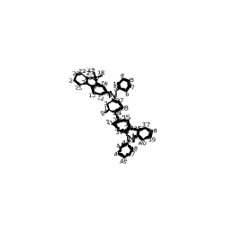 CC1CC(N(c2ccccc2)c2ccc3c(c2)C(C)(C)[C@]2(C)C=CC=CC32)=CC=C1c1ccc2c(c1)c1ccccc1n2-c1ccccc1